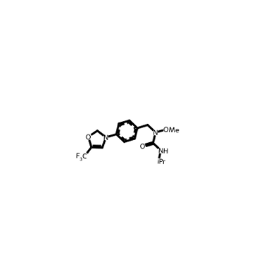 CON(Cc1ccc(N2C=C(C(F)(F)F)OC2)cc1)C(=O)NC(C)C